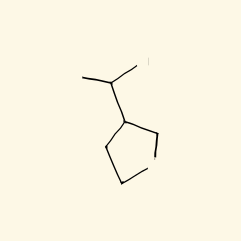 CC(C1CCOC1)C(F)(F)F